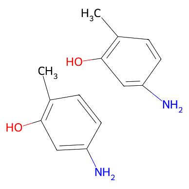 Cc1ccc(N)cc1O.Cc1ccc(N)cc1O